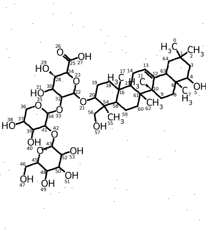 CC1(C)CC(O)C2(C)CC[C@@]3(C)C(=CCC4C5(C)CCC(OC6OC(C(=O)O)[C@H](O)C(O)C6OC6OCC(O)C(O)C6OC6OC(CO)C(O)C(O)C6O)C(C)(CO)C5CCC43C)C2C1